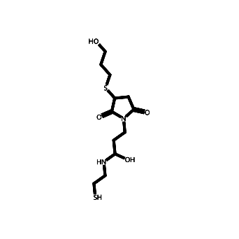 O=C1CC(SCCCO)C(=O)N1CCC(O)NCCS